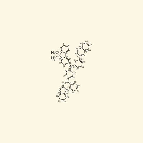 CC1(C)c2ccccc2-c2cc(N(c3ccc(-c4cc5sc6ccccc6c5c5ccccc45)cc3)C3C=CC=C(c4ccc5ccccc5c4)C3)ccc21